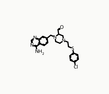 Nc1ncnc2cc(CN3CCN(CCSc4ccc(Cl)cc4)CC3C=O)ccc12